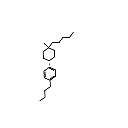 CCCCC[C@]1(C)CC[C@H](c2ccc(CCCC)cc2)CC1